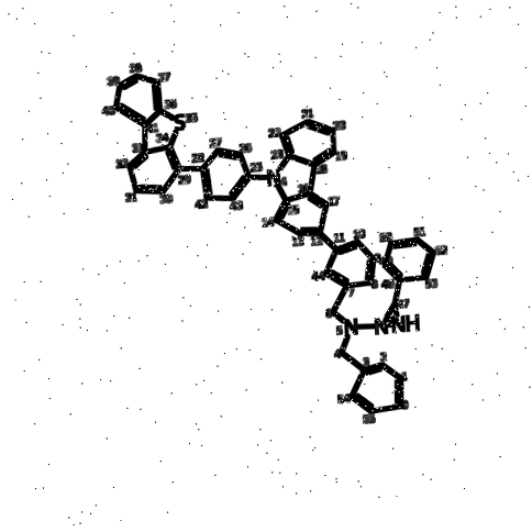 c1ccc(CN(Cc2cccc(-c3ccc4c(c3)c3ccccc3n4-c3ccc(-c4cccc5c4sc4ccccc45)cc3)c2)N2NC2c2ccccc2)cc1